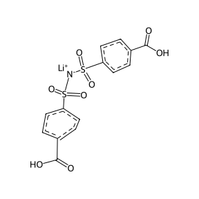 O=C(O)c1ccc(S(=O)(=O)[N-]S(=O)(=O)c2ccc(C(=O)O)cc2)cc1.[Li+]